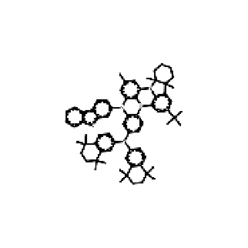 Cc1cc2c3c(c1)N1c4c(cc(C(C)(C)C)cc4C4(C)CCCCC14C)B3c1ccc(N(c3ccc4c(c3)C(C)(C)CCC4(C)C)c3ccc4c(c3)C(C)(C)CCC4(C)C)cc1N2c1ccc2c(c1)sc1ccccc12